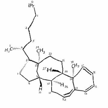 CC(C)CCC[C@@H](C)[C@H]1CC[C@H]2[C@@H]3CC=C4C=CC=C[C@]4(C)[C@H]3CC[C@]12C